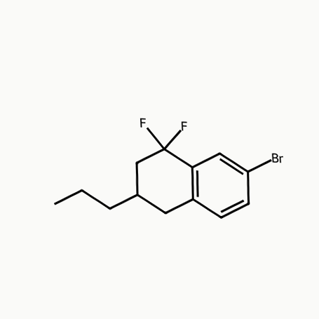 CCCC1Cc2ccc(Br)cc2C(F)(F)C1